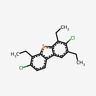 CCc1cc2c(sc3c(CC)c(Cl)ccc32)c(CC)c1Cl